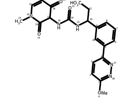 COc1ccc(-c2cccc(C(CC(=O)O)NC(=O)NC3C(=O)C=CN(C)C3=O)c2)nn1